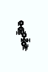 FC(F)(F)c1ccc2nc(-c3ccnc(Nc4ncc(-c5ccccn5)cn4)c3)[nH]c2c1